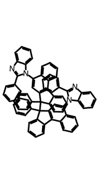 c1ccc(-c2nc3ccccc3n2-c2cc3c(c4ccccc24)-c2ccccc2C3(c2ccccc2)C2(c3ccccc3)c3ccccc3-c3c2cc(-n2c(-c4ccccc4)nc4ccccc42)c2ccccc32)cc1